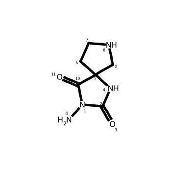 NN1C(=O)NC2(CCNC2)C1=O